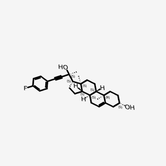 C[C@]12CC[C@H]3[C@@H](CC=C4C[C@@H](O)CC[C@@]43C)[C@@H]1CC[C@@H]2[C@](C)(O)C#Cc1ccc(F)cc1